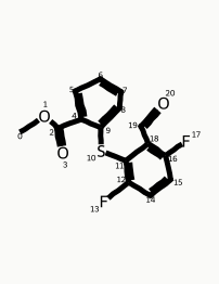 COC(=O)c1ccccc1Sc1c(F)ccc(F)c1C=O